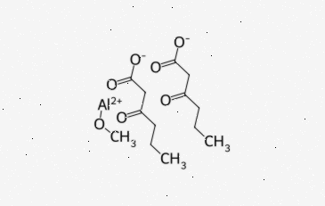 CCCC(=O)CC(=O)[O-].CCCC(=O)CC(=O)[O-].C[O][Al+2]